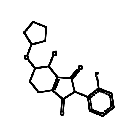 O=C1C2=C(C(=O)C1c1ccccc1F)C(Cl)C(OC1CCCC1)CC2